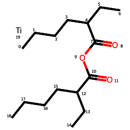 CCCCC(CC)C(=O)OC(=O)C(CC)CCCC.[Ti]